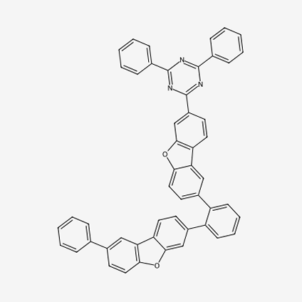 c1ccc(-c2ccc3oc4cc(-c5ccccc5-c5ccc6oc7cc(-c8nc(-c9ccccc9)nc(-c9ccccc9)n8)ccc7c6c5)ccc4c3c2)cc1